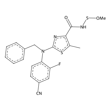 COSNC(=O)c1nc(N(Cc2ccccc2)c2ccc(C#N)cc2F)sc1C